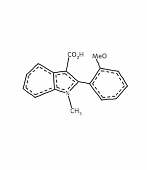 COc1ccccc1-c1c(C(=O)O)c2ccccc2n1C